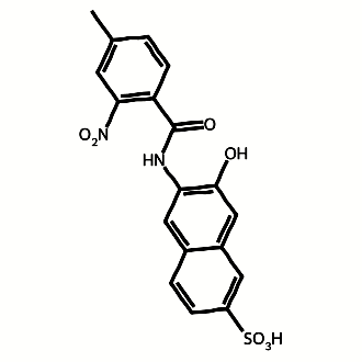 Cc1ccc(C(=O)Nc2cc3ccc(S(=O)(=O)O)cc3cc2O)c([N+](=O)[O-])c1